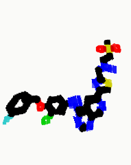 CS(=O)(=O)CCNCc1nc(-c2cc3c(Nc4ccc(OCc5cccc(F)c5)c(Cl)c4)ncnc3cn2)cs1